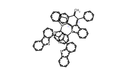 C=C(/C(c1ccccc1)=c1\c(=C2/Cc3ccccc3N2c2nccc(-c3cccc4c3sc3ccccc34)n2)n(-c2ccnc(-c3cccc4c3sc3ccccc34)n2)c2ccccc12)c1ccccc1